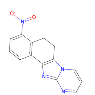 O=[N+]([O-])c1cccc2c1CCc1c-2nc2ncccn12